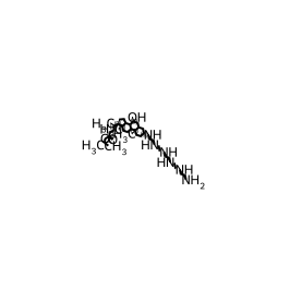 CC(C)OC(=O)CC[C@@H](C)[C@H]1CCC2C3C(CC[C@@]21C)[C@@]1(C)CC[C@H](NCCNCCNCCNCCNCCN)CC1C[C@@H]3O